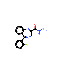 NNC(=O)C1=Nc2ccccc2C(c2ccccc2F)=NC1